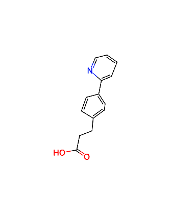 O=C(O)CCc1ccc(-c2ccccn2)cc1